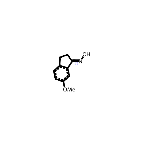 COc1ccc2c(c1)/C(=N/O)CC2